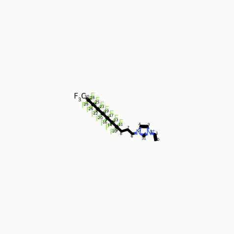 C=C[n+]1ccn(CCCC(F)(F)C(F)(F)C(F)(F)C(F)(F)C(F)(F)C(F)(F)C(F)(F)C(F)(F)F)c1